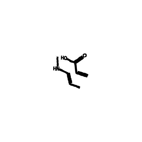 C=CC(=O)O.CC=CNC